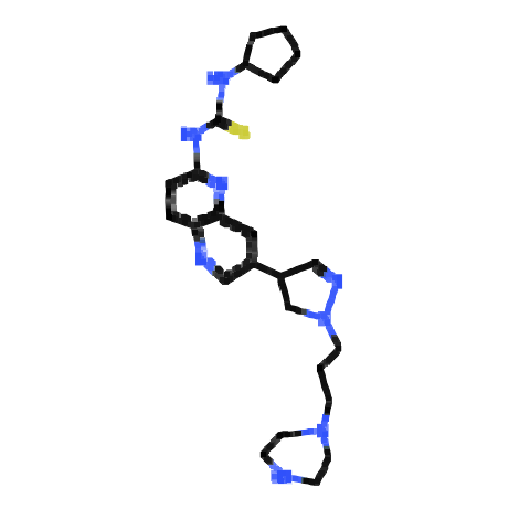 S=C(Nc1ccc2ncc(C3C=NN(CCCN4CCNCC4)C3)cc2n1)NC1CCCC1